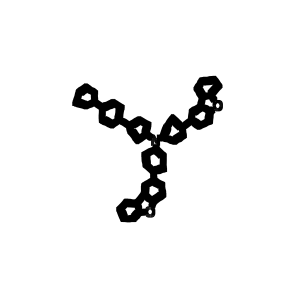 C1=CCC(c2ccc(-c3ccc(N(c4ccc(-c5ccc6oc7ccccc7c6c5)cc4)c4ccc(-c5ccc6oc7ccccc7c6c5)cc4)cc3)cc2)C=C1